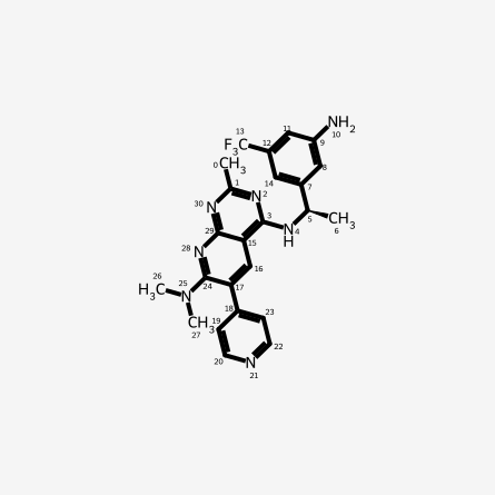 Cc1nc(N[C@H](C)c2cc(N)cc(C(F)(F)F)c2)c2cc(-c3ccncc3)c(N(C)C)nc2n1